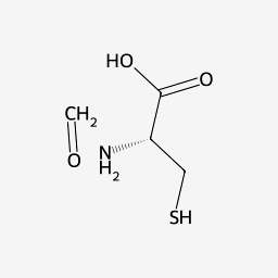 C=O.N[C@@H](CS)C(=O)O